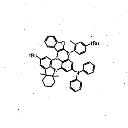 Cc1cc(C(C)(C)C)ccc1N1c2cc(N(c3ccccc3)c3ccccc3)cc3c2B(c2cc(C(C)(C)C)cc4c2N3C2(C)CCCCC42C)c2c1oc1ccccc21